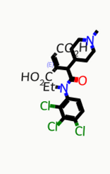 CCN(C(=O)C(/C(=C\C(=O)O)C(=O)O)C1CCN(C)CC1)c1ccc(Cl)c(Cl)c1Cl